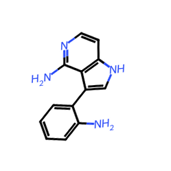 Nc1ccccc1-c1c[nH]c2ccnc(N)c12